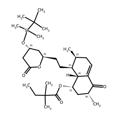 CCC(C)(C)C(=O)O[C@H]1C[C@@H](C)C(=O)C2=CC[C@H](C)[C@H](CC[C@@H]3C[C@@H](O[Si](C)(C)C(C)(C)C)CC(=O)O3)[C@H]21